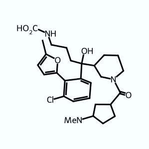 CNC1CCC(C(=O)N2CCCC(C(O)(CCCNC(=O)O)c3cccc(Cl)c3-c3ccc(C)o3)C2)C1